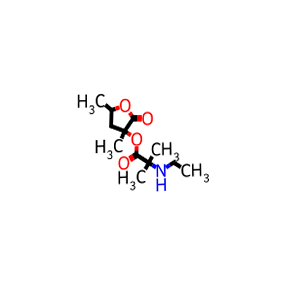 CCNC(C)(C)C(=O)OC1(C)CC(C)OC1=O